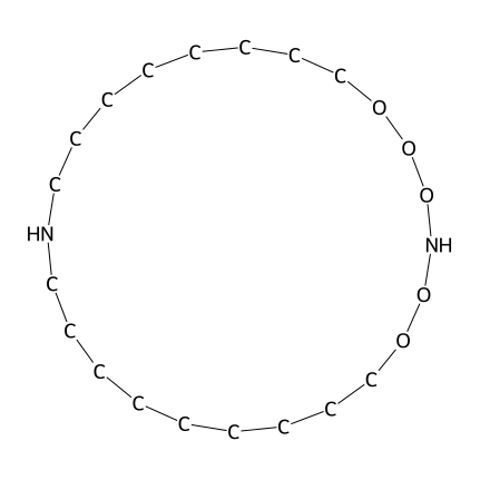 C1CCCCNCCCCCCCCOOONOOCCCC1